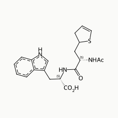 CC(=O)N[C@@H](CC1CC=CS1)C(=O)N[C@@H](Cc1c[nH]c2ccccc12)C(=O)O